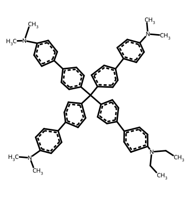 CCN(CC)c1ccc(-c2ccc(C(c3ccc(-c4ccc(N(C)C)cc4)cc3)(c3ccc(-c4ccc(N(C)C)cc4)cc3)c3ccc(-c4ccc(N(C)C)cc4)cc3)cc2)cc1